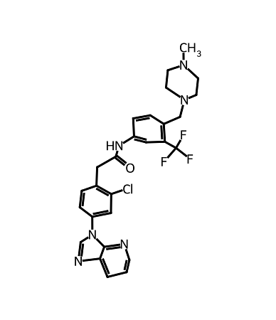 CN1CCN(Cc2ccc(NC(=O)Cc3ccc(-n4cnc5cccnc54)cc3Cl)cc2C(F)(F)F)CC1